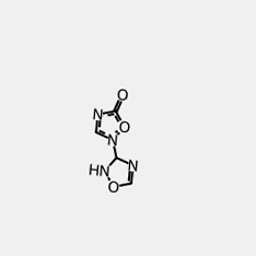 O=c1ncn(C2N=CON2)o1